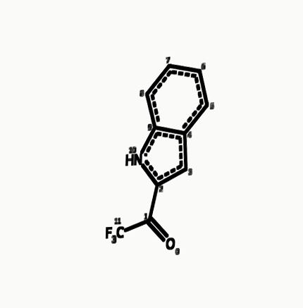 O=C(c1cc2ccccc2[nH]1)C(F)(F)F